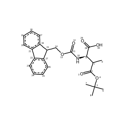 CC(C(=O)OC(C)(C)C)[C@@H](NC(=O)OCC1c2ccccc2-c2ccccc21)C(=O)O